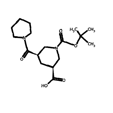 CC(C)(C)OC(=O)N1C[C@@H](C(=O)O)C[C@@H](C(=O)N2CCCCC2)C1